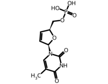 Cc1cn([C@H]2C=C[C@@H](COP(=O)(O)O)O2)c(=O)[nH]c1=O